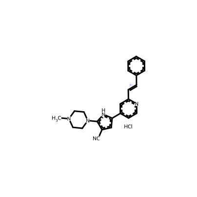 CN1CCN(c2[nH]c(-c3ccnc(/C=C/c4ccccc4)c3)cc2C#N)CC1.Cl